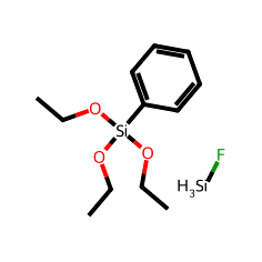 CCO[Si](OCC)(OCC)c1ccccc1.F[SiH3]